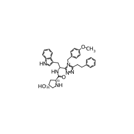 COc1ccc(Cn2c(CCc3ccccc3)nnc2C(Cc2c[nH]c3ccccc23)NC(=O)[C@@H]2C[C@@H](O)CN2)cc1